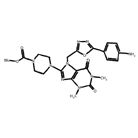 Cn1c(=O)c2c(nc(N3CCN(C(=O)OC(C)(C)C)CC3)n2Cc2nnc(-c3ccc(N)cc3)o2)n(C)c1=O